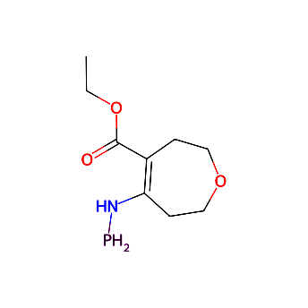 CCOC(=O)C1=C(NP)CCOCC1